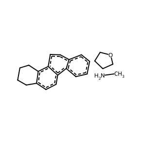 C1CCOC1.CN.c1ccc2c(c1)ccc1c3c(ccc12)CCCC3